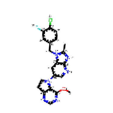 COc1ncnc2ccn(-c3cnc4nc(C)n(Cc5ccc(Cl)c(F)c5)c4c3)c12